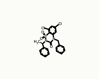 C[C@H](c1ccccc1)N1C(=O)N(Cc2ccccc2)c2cc(Cl)cc(Cl)c2S1(=O)=O